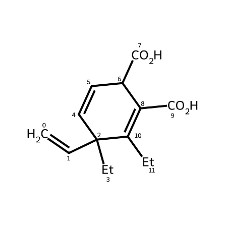 C=CC1(CC)C=CC(C(=O)O)C(C(=O)O)=C1CC